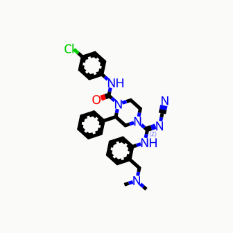 CN(C)Cc1ccccc1N/C(=N/C#N)N1CCN(C(=O)Nc2ccc(Cl)cc2)C(c2ccccc2)C1